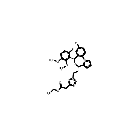 CCOC(=O)Cc1nnn(CC[C@@H]2O[C@@H](c3c(F)ccc(OC)c3OC)c3cc(Cl)ccc3-n3cccc32)n1